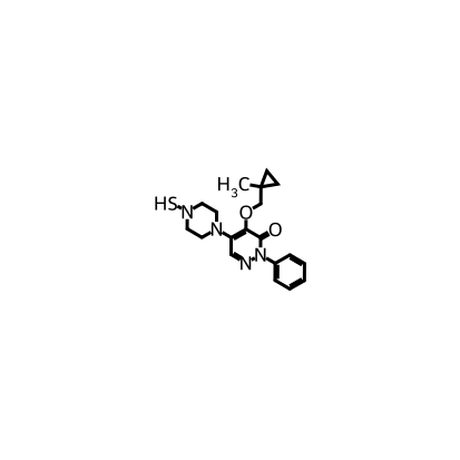 CC1(COc2c(N3CCN(S)CC3)cnn(-c3ccccc3)c2=O)CC1